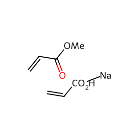 C=CC(=O)O.C=CC(=O)OC.[CH3][Na]